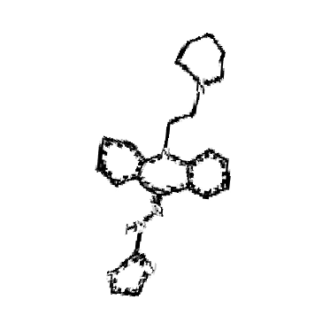 c1ccc2c(c1)c(=NNc1nccs1)c1ccccc1n2CCN1CCCCC1